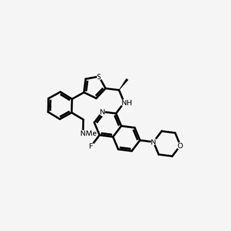 CNCc1ccccc1-c1csc([C@@H](C)Nc2ncc(F)c3ccc(N4CCOCC4)cc23)c1